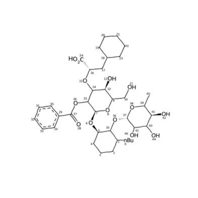 CCCCC1CCC[C@@H](O[C@@H]2OC(CO)[C@H](O)C(O[C@@H](CC3CCCCC3)C(=O)O)C2OC(=O)c2ccccc2)C1O[C@@H]1OC(C)[C@@H](O)C(O)C1O